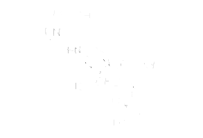 CC(C)C(=O)O[C@@H]1[C@@H](CO)O[C@@H](n2ccc(NCC(N)C(C)C)nc2=O)C1(F)F.Cl